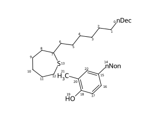 CCCCCCCCCCCCCCCCC1CCCCCS1.CCCCCCCCCc1ccc(O)c(C)c1